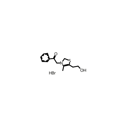 Br.CC1=C(CCO)SCN1CC(=O)c1ccccc1